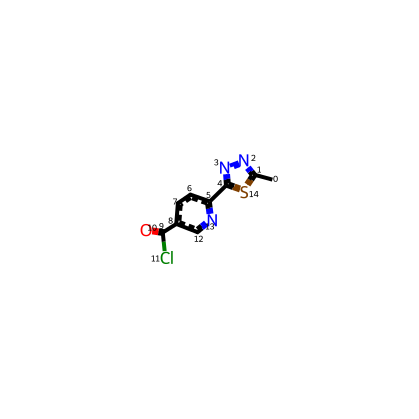 Cc1nnc(-c2ccc(C(=O)Cl)cn2)s1